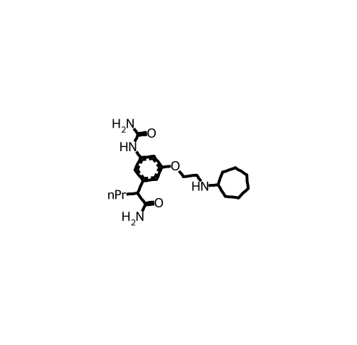 CCCC(C(N)=O)c1cc(NC(N)=O)cc(OCCNC2CCCCCC2)c1